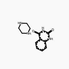 C1CNCCN1.O=c1[nH]c(=O)c2ccccc2[nH]1